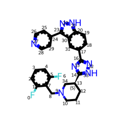 Fc1cccc(F)c1CN1CCC[C@H](c2nc(-c3ccc4[nH]nc(-c5ccncc5)c4c3)n[nH]2)C1